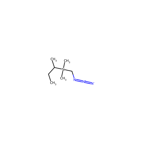 CCC(C)[Si](C)(C)CN=[N+]=[N-]